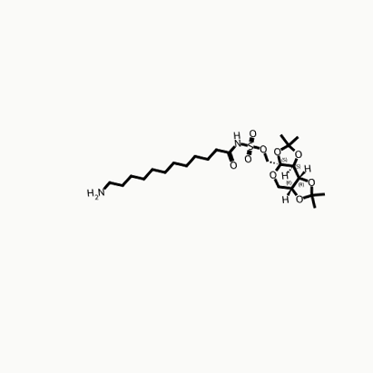 CC1(C)O[C@@H]2[C@@H](CO[C@@]3(COS(=O)(=O)NC(=O)CCCCCCCCCCCN)OC(C)(C)O[C@@H]23)O1